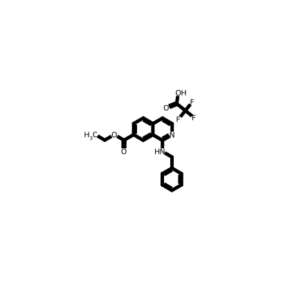 CCOC(=O)c1ccc2ccnc(NCc3ccccc3)c2c1.O=C(O)C(F)(F)F